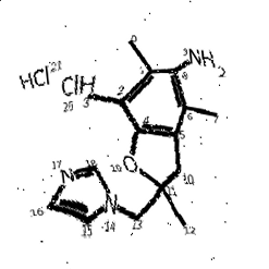 Cc1c(C)c2c(c(C)c1N)CC(C)(Cn1ccnc1)O2.Cl.Cl